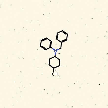 CC1CCC(N(Cc2ccccc2)c2ccccc2)CC1